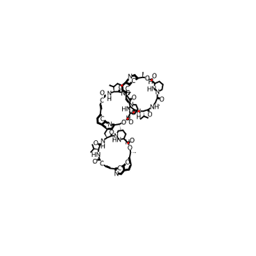 CC(C)[C@@H]1NC(=O)C/C=C/c2cc(CC(C)[C@@H]3NC(=O)C/C=C/c4ccc5c(C[C@@H]6NC(=O)[C@H](C(C)C)NC(=O)C/C=C\c7cc8cc(ccc8cn7)[C@@H](C)OC(=O)[C@@H]7CCCN(N7)C6=O)cc(nc5c4)[C@@H](C)OC(=O)[C@@H]4CCCN(N4)C(=O)[C@H](C)NC3=O)c3ncc(cc3c2)[C@@H](C)OC(=O)[C@@H]2CCCN(N2)C(=O)[C@H](C)NC1=O